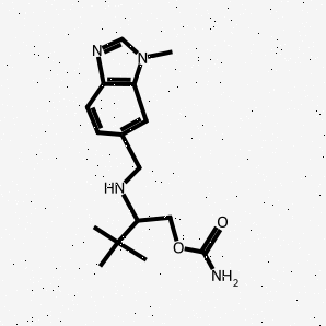 Cn1cnc2ccc(CNC(COC(N)=O)C(C)(C)C)cc21